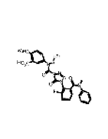 CCCSN(C(=O)n1nnn(-c2c(F)cccc2C(=O)N(C)c2ccccc2)c1=O)c1ccc(OC)c(C(=O)O)c1